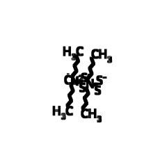 CCCCCCN(CCCCCC)C(=S)[S-].CCCCCCN(CCCCCC)C(=S)[S-].[Cu+2]